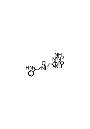 Nc1nc(=O)n2[nH]cc(CCC(=O)NCCc3c[nH]c4ccccc34)c2n1